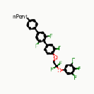 CCCCCc1ccc(-c2cc(F)c(-c3ccc(OCC(F)(F)Oc4cc(F)c(F)c(F)c4)c(F)c3)c(F)c2)cc1